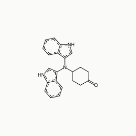 O=C1CCC(N(c2c[nH]c3ccccc23)c2c[nH]c3ccccc23)CC1